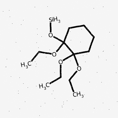 CCOC1(O[SiH3])CCCCC1(OCC)OCC